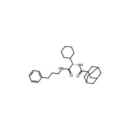 O=C(NCCCc1ccccc1)[C@@H](NC(=O)C12CC3CC(CC(C3)C1)C2)C1CCCCC1